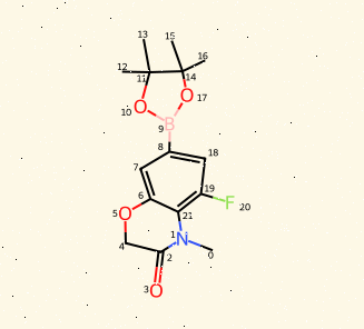 CN1C(=O)COc2cc(B3OC(C)(C)C(C)(C)O3)cc(F)c21